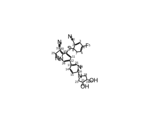 N#CC1=CC(F)=CCC1Sc1cc(-c2ccc(N3C[C@@H](O)[C@@H](O)C3)nc2)cn2ncc(C#N)c12